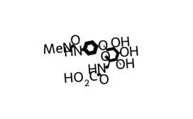 CNC(=O)Nc1ccc(O[C@H]2O[C@H](CNC(=O)C(=O)O)[C@@H](O)[C@H](O)[C@@H]2O)cc1